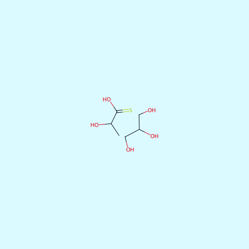 CC(O)C(O)=S.OCC(O)CO